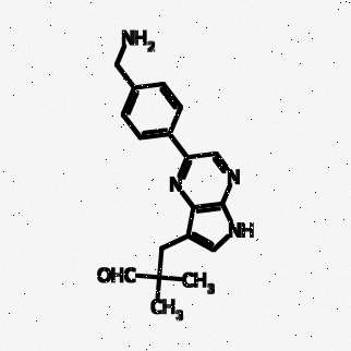 CC(C)(C=O)Cc1c[nH]c2ncc(-c3ccc(CN)cc3)nc12